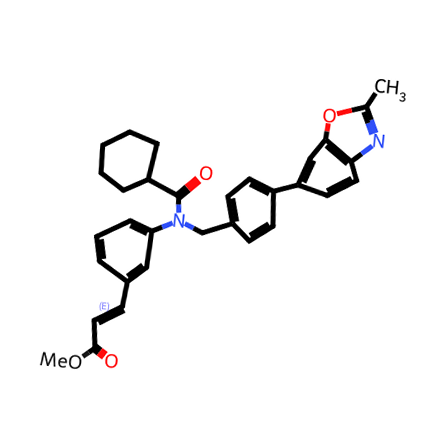 COC(=O)/C=C/c1cccc(N(Cc2ccc(-c3ccc4nc(C)oc4c3)cc2)C(=O)C2CCCCC2)c1